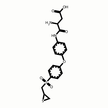 NC(CC(=O)O)C(=O)Nc1ccc(Oc2ccc(S(=O)(=O)CC3CS3)cc2)cc1